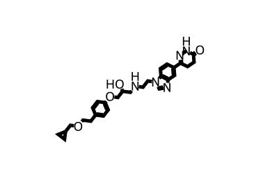 O=C1CCC(c2ccc3c(c2)ncn3CCNCC(O)COc2ccc(CCOCC3CC3)cc2)=NN1